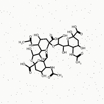 CC(=O)NC1C(O)CC(OC(CO)C(O)C2OC(OC(CO)C(O)C3OC(O)(C(=O)O)CC(O)C3NC(C)=O)(C(=O)O)CC(O)C2NC(C)=O)(C(=O)O)OC1C=O